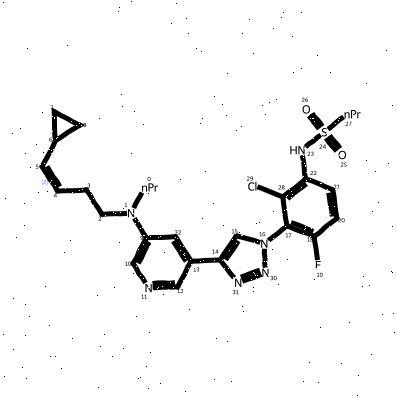 CCCN(CC/C=C\C1CC1)c1cncc(-c2cn(-c3c(F)ccc(NS(=O)(=O)CCC)c3Cl)nn2)c1